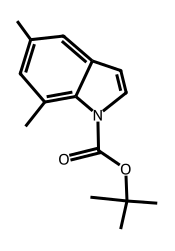 Cc1cc(C)c2c(ccn2C(=O)OC(C)(C)C)c1